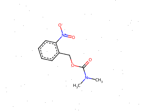 CN(C)C(=O)OCc1ccccc1[N+](=O)[O-]